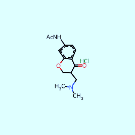 CC(=O)Nc1ccc2c(c1)OCC(CN(C)C)C2=O.Cl